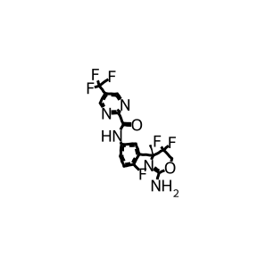 C[C@]1(c2cc(NC(=O)c3ncc(C(F)(F)F)cn3)ccc2F)N=C(N)OCC1(F)F